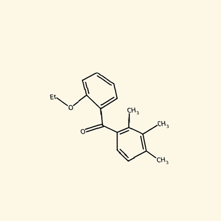 CCOc1ccccc1C(=O)c1ccc(C)c(C)c1C